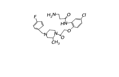 CC1CN(Cc2ccc(F)cc2)CCN1C(=O)COc1ccc(Cl)cc1NC(=O)CCN